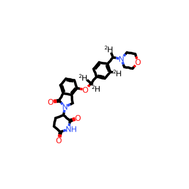 [2H]c1cc(C([2H])([2H])Oc2cccc3c2CN(C2CCC(=O)NC2=O)C3=O)ccc1C([2H])N1CCOCC1